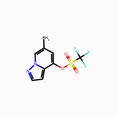 Bc1cc(OS(=O)(=O)C(F)(F)F)c2ccnn2c1